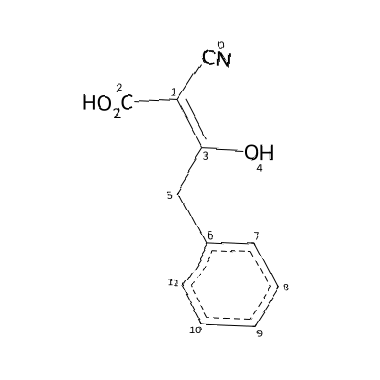 N#CC(C(=O)O)=C(O)Cc1ccccc1